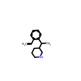 C=Cc1ccccc1C(C)C1CCCNC1